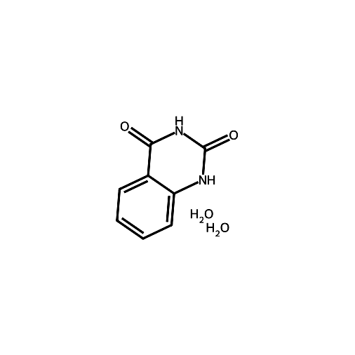 O.O.O=c1[nH]c(=O)c2ccccc2[nH]1